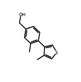 Cc1cc(CO)ccc1-c1cscc1C